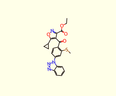 CCOC(=O)c1noc(C2CC2)c1C(=O)c1ccc(-n2nnc3ccccc32)cc1SC